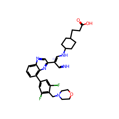 N=C/C(=C\NC1CCC(CCC(=O)O)CC1)c1cnc2cccc(-c3cc(F)c(CN4CCOCC4)c(F)c3)c2n1